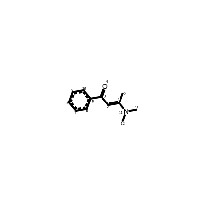 C/C(=C\C(=O)c1ccccc1)N(C)C